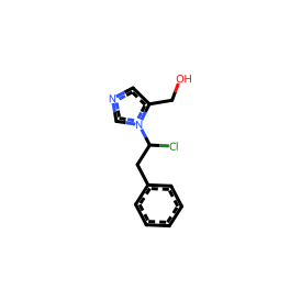 OCc1cncn1C(Cl)Cc1ccccc1